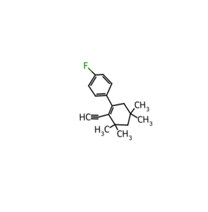 C#CC1=C(c2ccc(F)cc2)CC(C)(C)CC1(C)C